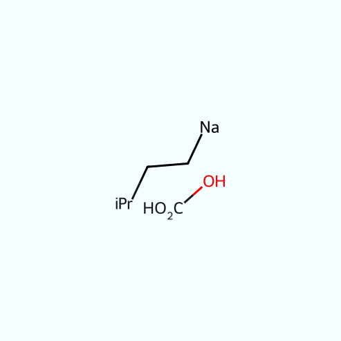 CC(C)C[CH2][Na].O=C(O)O